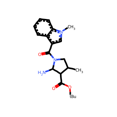 CC1CN(C(=O)c2cn(C)c3ccccc23)C(N)C1C(=O)OC(C)(C)C